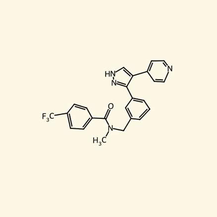 CN(Cc1cccc(-c2n[nH]cc2-c2ccncc2)c1)C(=O)c1ccc(C(F)(F)F)cc1